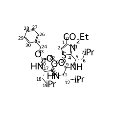 CCOC(=O)c1csc([C@H](CC(C)C)NC(=O)[C@H](CC(C)C)NC(=O)[C@H](CC(C)C)NC(=O)OCc2ccccc2)n1